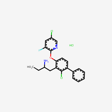 Cl.NC(CC(=O)O)Cc1c(Oc2ncc(Cl)cc2F)ccc(-c2ccccc2)c1Cl